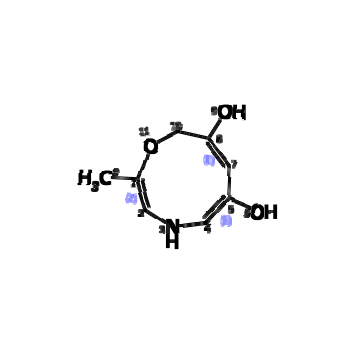 C/C1=C/N/C=C(O)\C=C(\O)CO1